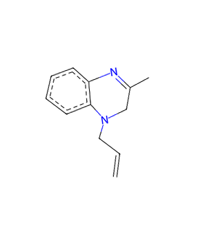 C=CCN1CC(C)=Nc2ccccc21